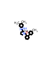 Cc1ccc(-c2ccccc2C(=O)N2CCCC2(C)c2nc3cc(C)c(C)cc3[nH]2)cc1